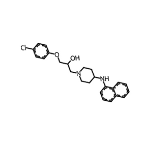 OC(COc1ccc(Cl)cc1)CN1CCC(Nc2cccc3ccccc23)CC1